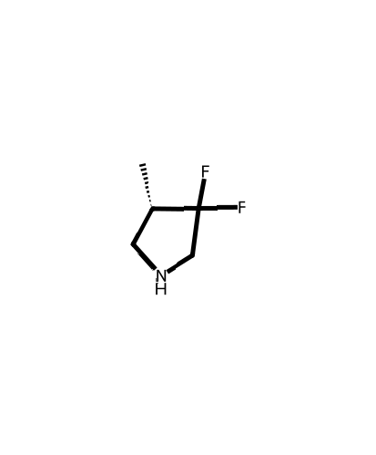 C[C@H]1CNCC1(F)F